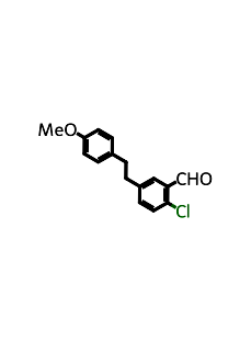 COc1ccc(CCc2ccc(Cl)c(C=O)c2)cc1